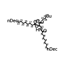 CCCCCCCCCCCCCCCCCC(=O)NCC(OC(=O)CCCCCCCCCCCCCCCCC)C(=O)OCCC(C)CC